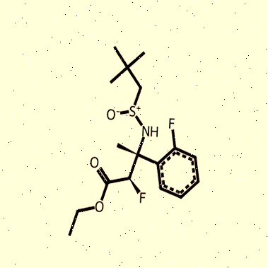 CCOC(=O)[C@H](F)[C@](C)(N[S+]([O-])CC(C)(C)C)c1ccccc1F